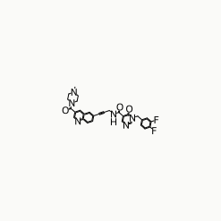 CN1CCN(C(=O)c2cnc3ccc(C#CCNC(=O)c4cncn(Cc5ccc(F)c(F)c5)c4=O)cc3c2)CC1